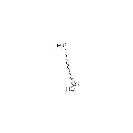 CCCCCCCCCCCCCC[CH2][Ti][CH2]C(=O)O